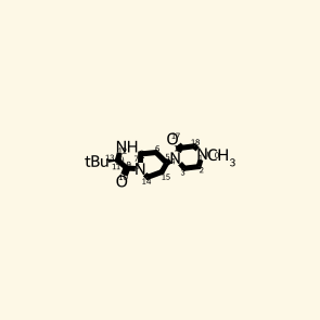 CN1CCN(C2CCN(C(=O)[C@H](N)C(C)(C)C)CC2)C(=O)C1